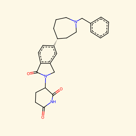 O=C1CCC(N2Cc3cc([C@@H]4CCCN(Cc5ccccc5)CC4)ccc3C2=O)C(=O)N1